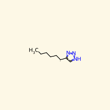 CCCCC[CH]c1c[nH]nn1